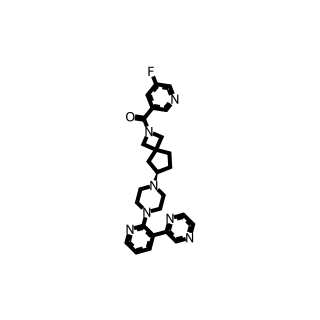 O=C(c1cncc(F)c1)N1CC2(CC[C@@H](N3CCN(c4ncccc4-c4cnccn4)CC3)C2)C1